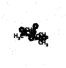 CN1/C(=C/C=C2\CCCC(/C=C/C3=[N+](C)c4ccccc4C3(C)C)=C2N2CCN(c3ccccc3)CC2)C(C)(C)c2ccccc21